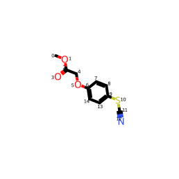 COC(=O)COc1ccc(SC#N)cc1